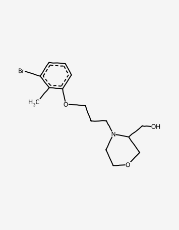 Cc1c(Br)cccc1OCCCN1CCOCC1CO